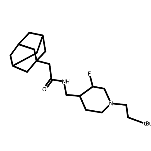 CC(C)(C)CCN1CCC(CNC(=O)CC23CC4CC(CC(C4)C2)C3)C(F)C1